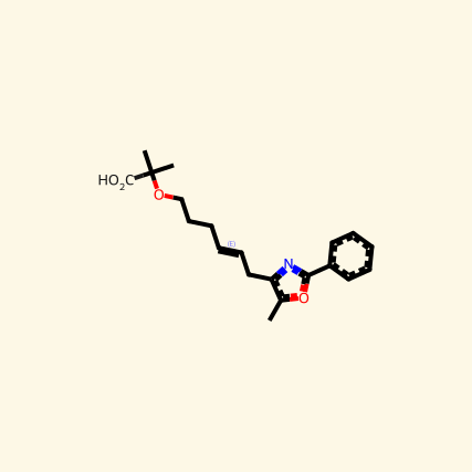 Cc1oc(-c2ccccc2)nc1C/C=C/CCCOC(C)(C)C(=O)O